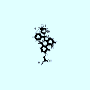 CC(O)COc1ccc(C(N)=O)c(-c2c(Cl)c(F)cc3c2C[C@](c2ccccc2)(C2CC(C)(O)CN2)O3)c1F